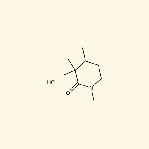 CC1CCN(C)C(=O)C1(C)C.Cl